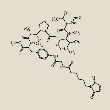 CC[C@H](C)[C@@H]([C@@H](CC(=O)N1CCC[C@H]1[C@H](OC)[C@@H](C)C(=O)N[C@@H](Cc1ccc(NC(=O)CNC(=O)CCCCCN2C(=O)C=CC2=O)cc1)C(=O)OC)OC)N(C)C(=O)[C@@H](NC=O)C(C)C